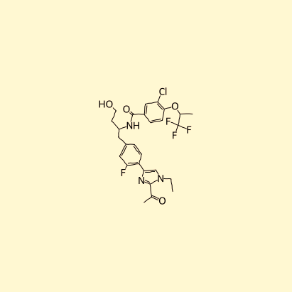 CCn1cc(-c2ccc(CC(CCO)NC(=O)c3ccc(OC(C)C(F)(F)F)c(Cl)c3)cc2F)nc1C(C)=O